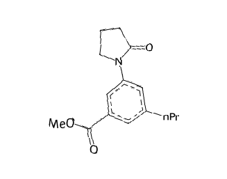 CCCc1cc(C(=O)OC)cc(N2CCCC2=O)c1